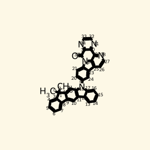 CC1(C)c2ccccc2-c2cc3c4ccccc4n(-c4ccc5c(c4)c4ccnc6c7nccnc7c(=O)n5c46)c3cc21